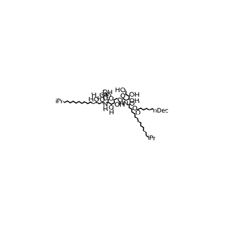 CCCCCCCCCCCCCCCC(=O)OC(CCCCCCCCCCCC(C)C)CC(=O)NC1[C@H](OCC2O[C@H](OP(C)(=O)O)C(NC(=O)CC(O)CCCCCCCCCCCC(C)C)[C@@H](O)[C@@H]2O)OC(CO)[C@@H](O)[C@@H]1O